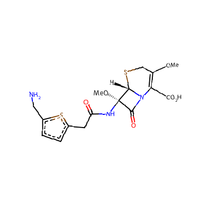 COC1=C(C(=O)O)N2C(=O)[C@](NC(=O)Cc3ccc(CN)s3)(OC)[C@@H]2SC1